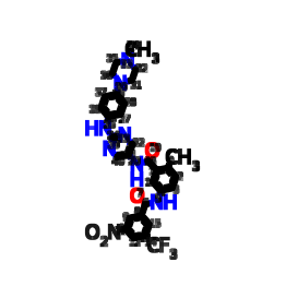 Cc1ccc(NC(=O)c2cc([N+](=O)[O-])cc(C(F)(F)F)c2)cc1C(=O)Nc1cnc(Nc2ccc(N3CCN(C)CC3)cc2)nc1